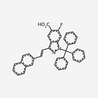 O=C(O)c1cc2c(/C=C/c3ccc4ccccc4c3)nn(C(c3ccccc3)(c3ccccc3)c3ccccc3)c2cc1F